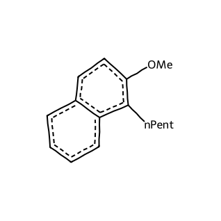 CCCCCc1c(OC)ccc2ccccc12